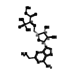 CC(C)(C)OC(=O)[C@@H](OC[C@H]1O[C@@H](n2cnc3c(N)nc(CN)nc32)[C@H](O)[C@H]1O)P(=O)(O)O